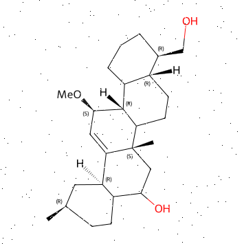 CO[C@@H]1C=C2[C@@H]3C[C@H](C)CCC3C(O)C[C@@]2(C)C2CC[C@@H]3C(CCC[C@H]3CO)[C@H]21